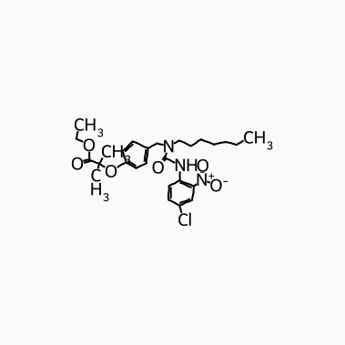 CCCCCCCN(Cc1ccc(OC(C)(C)C(=O)OCC)cc1)C(=O)Nc1ccc(Cl)cc1[N+](=O)[O-]